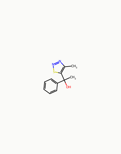 Cc1nnsc1C(C)(O)c1ccccc1